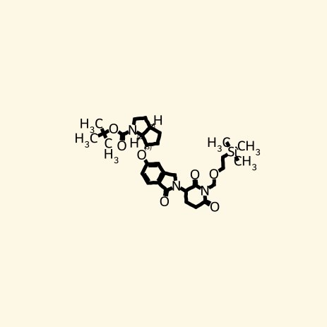 CC(C)(C)OC(=O)N1CC[C@H]2CC[C@H](Oc3ccc4c(c3)CN(C3CCC(=O)N(COCC[Si](C)(C)C)C3=O)C4=O)[C@H]21